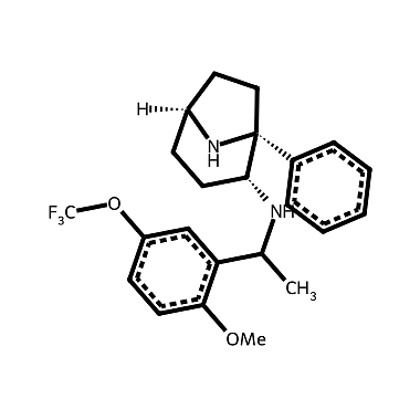 COc1ccc(OC(F)(F)F)cc1C(C)N[C@@H]1CC[C@H]2CC[C@]1(c1ccccc1)N2